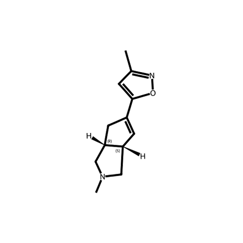 Cc1cc(C2=C[C@@H]3CN(C)C[C@@H]3C2)on1